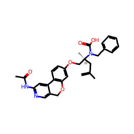 C=C(C)C[C@@](C)(COc1ccc2c(c1)OCc1cnc(NC(C)=O)cc1-2)N(Cc1ccccc1)C(=O)O